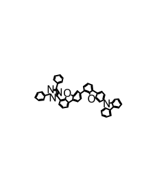 c1ccc(-c2nc(-c3ccccc3)nc(-c3cccc4c3oc3cc(-c5cccc6c5oc5cc(-n7c8ccccc8c8ccccc87)ccc56)ccc34)n2)cc1